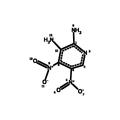 Nc1ncc([N+](=O)[O-])c([N+](=O)[O-])c1N